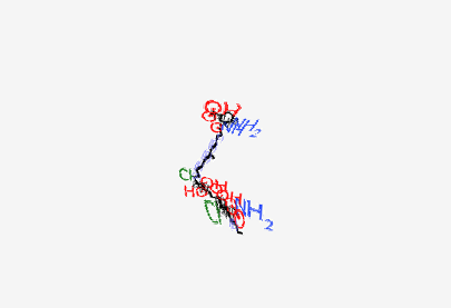 CC/C=C/[C@@H](OC(N)=O)[C@@H](Cl)[C@H](O)CC(=O)[C@@H](O)[C@H](O)[C@H](C)/C(Cl)=C/C=C/C=C(C)/C=C/C=C/C(=O)N[C@@H]1C[C@@H](C(=O)O)CC[C@@H]1N